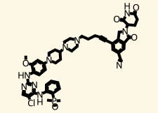 COc1cc(N2CCC(N3CCN(CCCC#Cc4cc(C#N)cc5c4CN(C4CCC(=O)NC4=O)C5=O)CC3)CC2)ccc1Nc1ncc(Cl)c(Nc2ccccc2P(C)(C)=O)n1